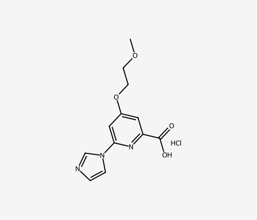 COCCOc1cc(C(=O)O)nc(-n2ccnc2)c1.Cl